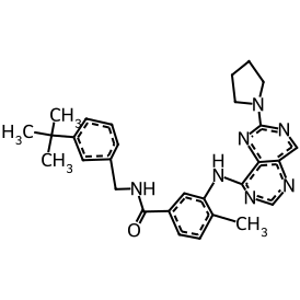 Cc1ccc(C(=O)NCc2cccc(C(C)(C)C)c2)cc1Nc1ncnc2cnc(N3CCCC3)nc12